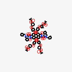 C=C(C)C(=O)OC1CCCC(Oc2ccc(Oc3cc4c5c(cc(Oc6ccc(OC7CCCC(OC(=O)C(=C)C)C7)cc6)c6c7c(Oc8ccc(OC9CCCC(OC(=O)C(=C)C)C9)cc8)cc8c9c(cc(Oc%10ccc(OC%11CCCC(OC(=O)C(=C)C)C%11)cc%10)c(c3c56)c97)C(=O)N(CC(=O)N(Cc3ccccc3)Cc3ccccc3)C8=O)C(=O)N(CC(=O)N(Cc3ccccc3)Cc3ccccc3)C4=O)cc2)C1